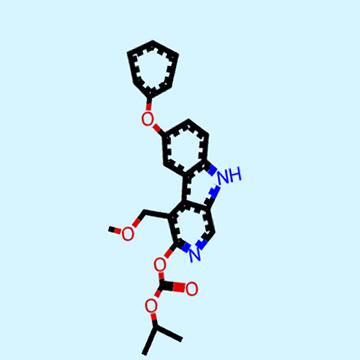 COCc1c(OC(=O)OC(C)C)ncc2[nH]c3ccc(Oc4ccccc4)cc3c12